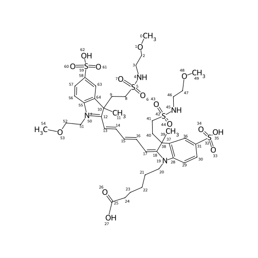 COCCNS(=O)(=O)CCC1(C)C(/C=C/C=C/C=C2/N(CCCCCC(=O)O)c3ccc(S(=O)(=O)O)cc3C2(C)CCS(=O)(=O)NCCOC)=[N+](CCOC)c2ccc(S(=O)(=O)O)cc21